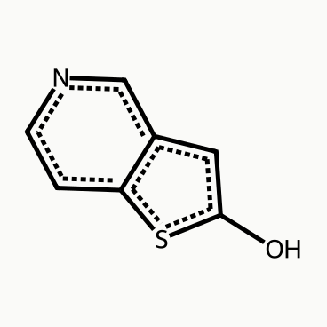 Oc1cc2cnccc2s1